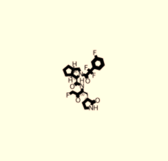 O=C1NCC[C@@H]1C[C@H](NC(=O)[C@H]1[C@H]2CCC[C@H]2CN1C(=O)C(F)(F)c1cccc(F)c1)C(=O)CF